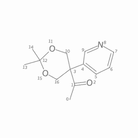 CC(=O)C1(c2cccnc2)COC(C)(C)OC1